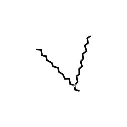 C[CH]N(CCCCCCCCCCCCC)CCCCCCCCCCCCC